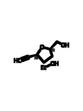 C#C[C@@H]1CC[C@H](CO)O1.CCO